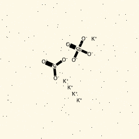 O=[Si]([O-])[O-].[K+].[K+].[K+].[K+].[K+].[O]=[Sb]([O-])([O-])[O-]